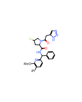 COc1nc(C(NC(=O)C2CC(F)CN2C(=O)Cc2cnn[nH]2)c2ccccc2)ccc1C(C)C